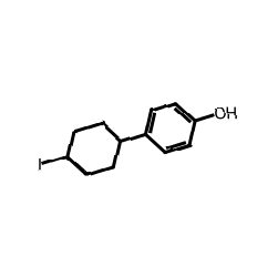 Oc1ccc(C2CCC(I)CC2)cc1